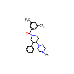 CC(=O)N1CCN(C2CCN(C(=O)c3cc(C(F)(F)F)cc(C(F)(F)F)c3)CC2c2ccccc2)CC1